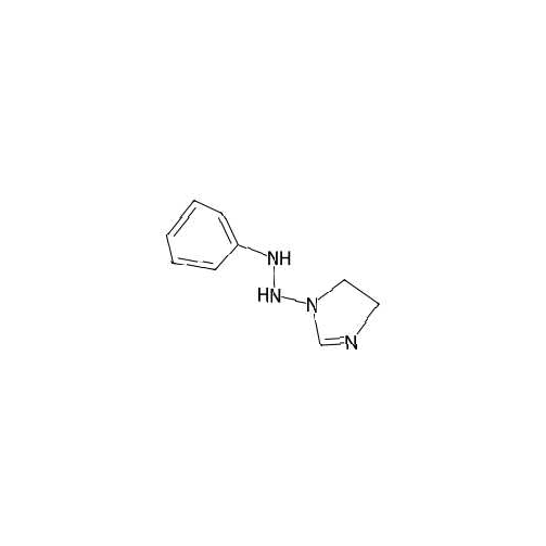 C1=NCCN1NNc1ccccc1